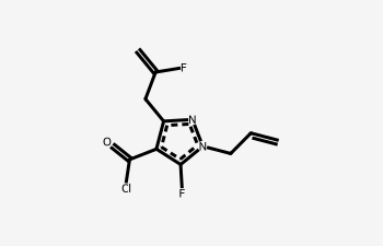 C=CCn1nc(CC(=C)F)c(C(=O)Cl)c1F